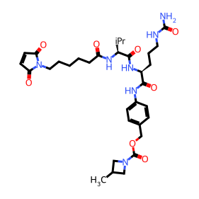 CC1CN(C(=O)OCc2ccc(NC(=O)[C@H](CCCNC(N)=O)NC(=O)[C@@H](NC(=O)CCCCCN3C(=O)C=CC3=O)C(C)C)cc2)C1